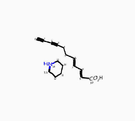 C#CC#CCC/C=C/C=C/C(=O)O.C1CCNCC1